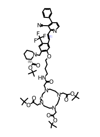 CC(C)(C)OC(=O)CN1CCN(CC(=O)NCCCCOc2cc(/C=C/c3nccc(-c4ccccc4)c3C#N)c(C(F)(F)F)cc2CN2CCCC[C@H]2C(=O)OC(C)(C)C)CCN(CC(=O)OC(C)(C)C)CCN(CC(=O)OC(C)(C)C)CC1